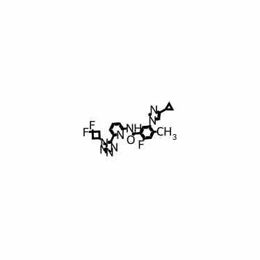 Cc1cc(F)c(C(=O)Nc2cccc(-c3nnnn3C3CC(F)(F)C3)n2)cc1-n1cnc(C2CC2)c1